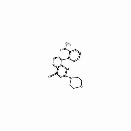 CC(=O)c1ccccc1-c1cccc2c(=O)cc(N3CCOCC3)[nH]c12